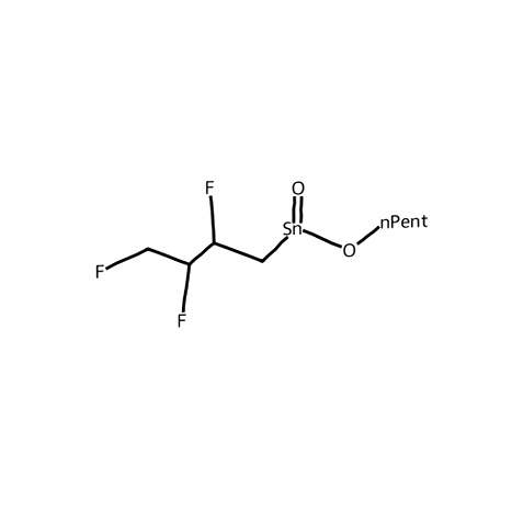 CCCCC[O][Sn](=[O])[CH2]C(F)C(F)CF